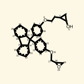 OC1CC1CCOc1ccc(C2(c3ccc(OCC4CO4)cc3)c3ccccc3-c3ccccc32)cc1